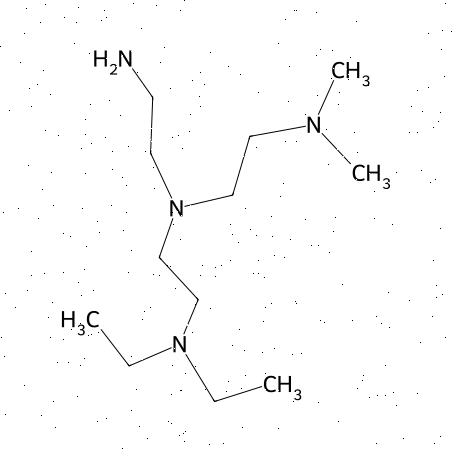 CCN(CC)CCN(CCN)CCN(C)C